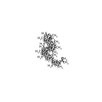 C[SiH](C)OO[Si](C)(C)O[Si](C)(C)O[Si](C)(C)O[Si](C)(C)O[Si](C)(C)O[Si](C)(C)O[Si](C)(C)O[Si](C)(C)O[Si](C)(C)O[Si](C)(C)O[Si](C)(C)O[Si](C)(C)O[Si](C)(C)O[Si](C)(C)O[Si](C)(C)O[Si](C)(C)O[SiH](C)C